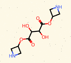 O=C(OC1CNC1)C(O)C(O)C(=O)OC1CNC1